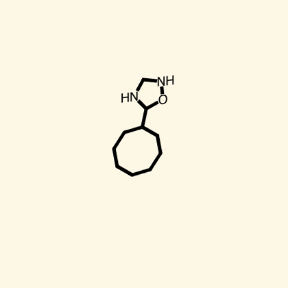 C1CCCC(C2NCNO2)CCC1